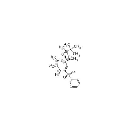 C[C@H]1[C@H](O)[C@H](O)C(S(=O)(=O)c2ccccc2)=C[C@H](C)[C@H]1O[Si](C)(C)C(C)(C)C